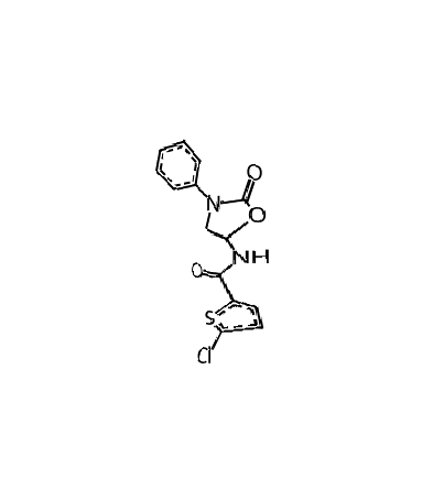 O=C(NC1CN(c2ccccc2)C(=O)O1)c1ccc(Cl)s1